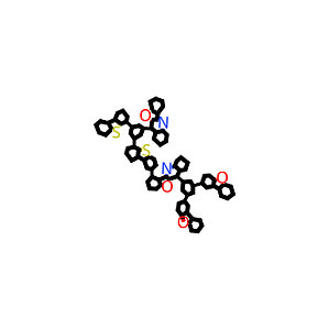 c1ccc2c(-c3cc(-c4cccc5c4sc4ccccc45)cc(-c4cccc5c4sc4ccc(-c6cccc7oc8c(-c9cc(-c%10ccc%11oc%12ccccc%12c%11c%10)cc(-c%10ccc%11oc%12ccccc%12c%11c%10)c9)c9ccccc9nc8c67)cc45)c3)c3oc4ccccc4c3nc2c1